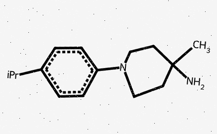 CC(C)c1ccc(N2CCC(C)(N)CC2)cc1